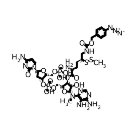 CSS[C@@H](CC[C@H](N)C(=O)O[C@H]1[C@@H](O)[C@H](N(C)c2ncnc(N)c2N)O[C@@H]1COP(=O)(O)O[C@H]1C[C@H](n2ccc(N)nc2=O)O[C@@H]1COP(=O)(O)O)CNC(=O)OCc1ccc(N=[N+]=[N-])cc1